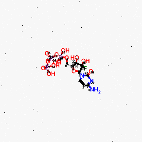 Nc1ccn([C@@H]2O[C@H](COP(=O)(O)OP(=O)(O)OP(=O)(O)O)[C@@H](O)[C@]2(O)F)c(=O)n1